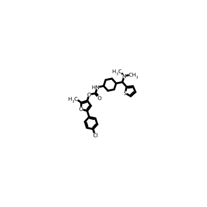 Cc1oc(-c2ccc(Cl)cc2)cc1OC(=O)NC1CCC(C(c2cccs2)N(C)C)CC1